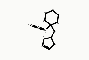 O=C=NC1(CC2CC=CO2)CCCCC1